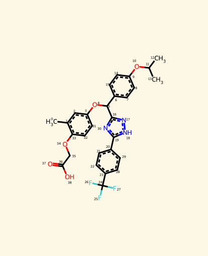 Cc1cc(OC(c2ccc(OC(C)C)cc2)c2n[nH]c(-c3ccc(C(F)(F)F)cc3)n2)ccc1OCC(=O)O